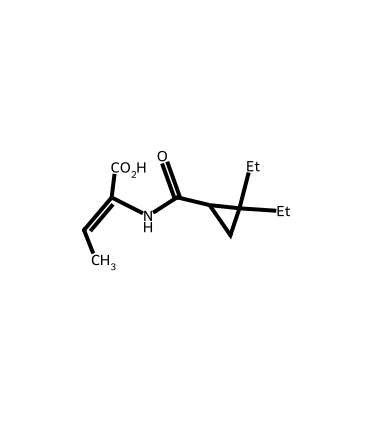 C/C=C(\NC(=O)C1CC1(CC)CC)C(=O)O